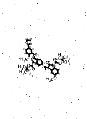 COc1ccc2c(c1)[C@]1(C[C@H]1c1ccc3c(Nc4cc(-c5nccs5)ccc4OC)nn(C(=O)OC(C)(C)C)c3c1)C(=O)N2C(=O)OC(C)(C)C